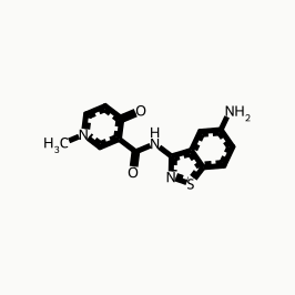 Cn1ccc(=O)c(C(=O)Nc2nsc3ccc(N)cc23)c1